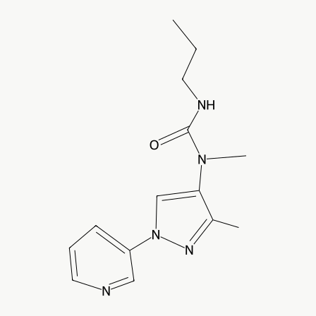 CCCNC(=O)N(C)c1cn(-c2cccnc2)nc1C